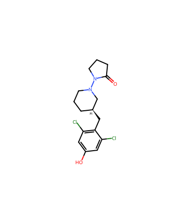 O=C1CCCN1N1CCC[C@H](Cc2c(Cl)cc(O)cc2Cl)C1